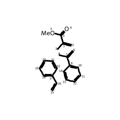 C=C(C)C(=O)OC.C=C(C)c1ccccc1.C=Cc1ccccc1